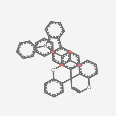 c1ccc(-c2cccc3c2Oc2ccccc2C32c3ccccc3Oc3cccc(-c4ccc5c(c4)c4ccccc4n5-c4ccccc4)c32)cc1